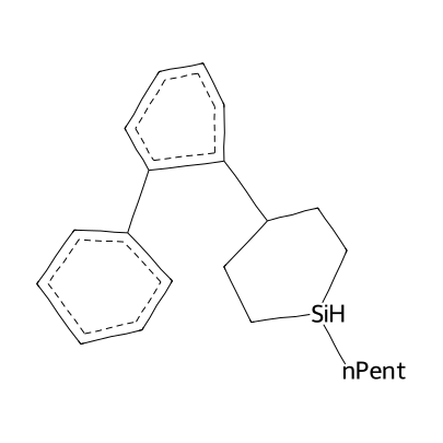 CCCCC[SiH]1CCC(c2ccccc2-c2ccccc2)CC1